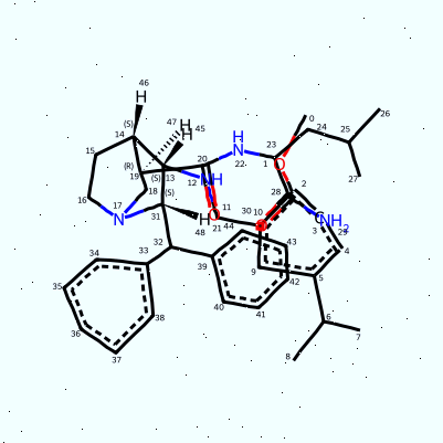 COc1ccc(C(C)C)cc1CN[C@H]1[C@H]2CCN(C[C@@H]2C(=O)NC(CC(C)C)C(N)=O)[C@H]1C(c1ccccc1)c1ccccc1